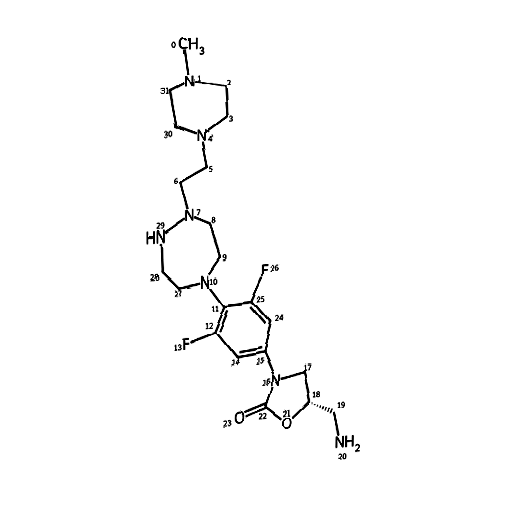 CN1CCN(CCN2CCN(c3c(F)cc(N4C[C@H](CN)OC4=O)cc3F)CCN2)CC1